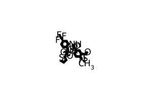 Cn1sc(=O)c2cc(S(=O)(=O)Nc3cc(C(F)(F)F)ccc3NS(=O)(=O)c3cccs3)ccc21